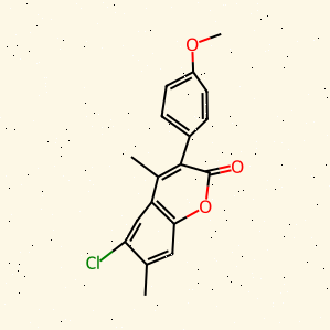 COc1ccc(-c2c(C)c3cc(Cl)c(C)cc3oc2=O)cc1